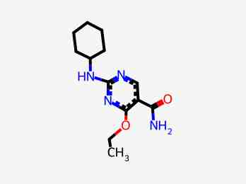 CCOc1nc(NC2CCCCC2)ncc1C(N)=O